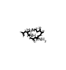 CC(C)CC(C)CNCC(C)CC(C)(N)CCC(C)C(C)CCN